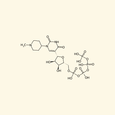 CN1CCC(n2cc([C@@H]3O[C@H](COP(=O)(O)OP(=O)(O)OP(=O)(O)OP(=O)(O)O)[C@@H](O)[C@H]3O)c(=O)[nH]c2=O)CC1